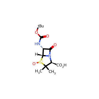 CC(C)(C)OC(=O)N[C@@H]1C(=O)N2[C@@H]1[S+]([O-])C(C)(C)[C@@H]2C(=O)O